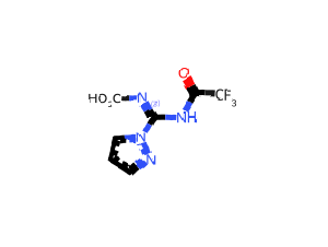 O=C(O)/N=C(/NC(=O)C(F)(F)F)n1cccn1